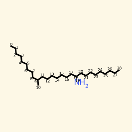 CCCCCCCCCC(C)CCCCCCCC(N)CCCCCCCCC